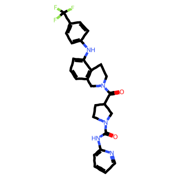 O=C(Nc1ccccn1)N1CCC(C(=O)N2CCc3c(cccc3Nc3ccc(C(F)(F)F)cc3)C2)C1